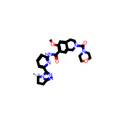 COc1cc2c(cc1C(=O)Nc1cccc(-c3nnc4n3[C@@H](C)CC4)n1)CN(C(=O)N1CCOCC1)CC2